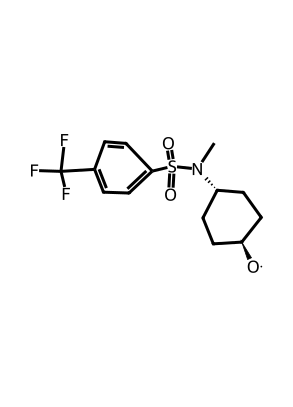 CN([C@H]1CC[C@H]([O])CC1)S(=O)(=O)c1ccc(C(F)(F)F)cc1